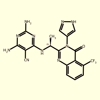 C[C@H](Nc1nc(N)nc(N)c1C#N)c1nc2cccc(C(F)(F)F)c2c(=O)n1-c1cn[nH]c1